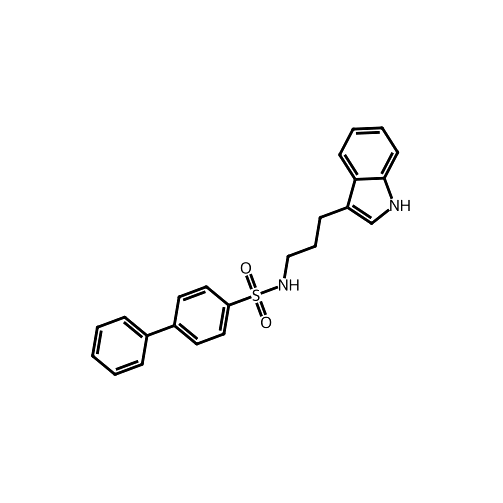 O=S(=O)(NCCCc1c[nH]c2ccccc12)c1ccc(-c2ccccc2)cc1